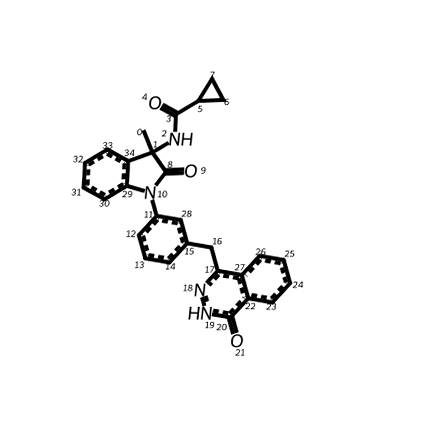 CC1(NC(=O)C2CC2)C(=O)N(c2cccc(Cc3n[nH]c(=O)c4ccccc34)c2)c2ccccc21